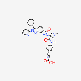 CN1CC(NC(=O)c2ccc3c(C4CCCCC4)n(-c4ccccn4)nc3c2)(C(=O)Nc2ccc(/C=C/C(=O)O)cc2)C1